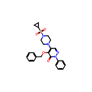 O=c1c(OCc2ccccc2)c(N2CCN(S(=O)(=O)C3CC3)CC2)cnn1-c1ccccc1